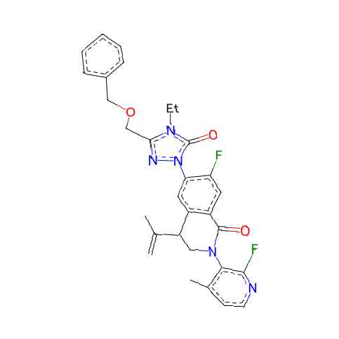 C=C(C)C1CN(c2c(C)ccnc2F)C(=O)c2cc(F)c(-n3nc(COCc4ccccc4)n(CC)c3=O)cc21